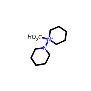 O=C(O)[N+]1(N2CCCCC2)CCCCC1